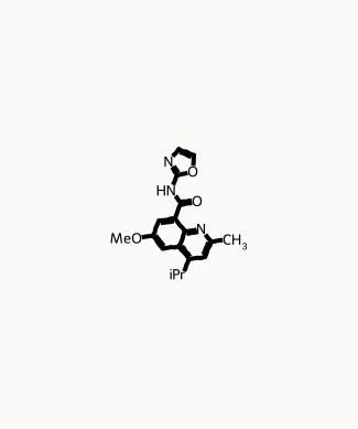 COc1cc(C(=O)Nc2ncco2)c2nc(C)cc(C(C)C)c2c1